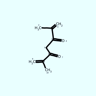 C=C(C)C(=O)CC(=O)C(=C)C